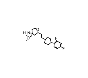 COCC1(N)CCOC(CCC2CCC(c3ccc(F)cc3F)CC2)C1